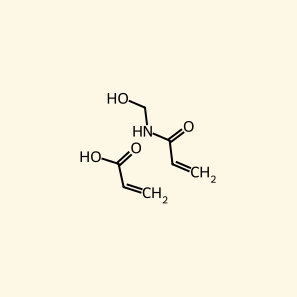 C=CC(=O)NCO.C=CC(=O)O